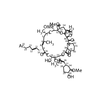 CO[C@H]1C[C@@H](C)C/C(C)=C/[C@@H](C/C=C/CCC(C)=O)C(=O)C[C@H](O)[C@@H](C)[C@@H](/C(C)=C/[C@@H]2CC[C@@H](O)[C@H](OC)C2)OC(=O)[C@@H]2CCCCN2C(=O)C(=O)[C@]2(O)O[C@H]1[C@@H](OC)C[C@H]2C